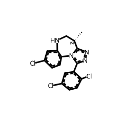 C[C@H]1CNc2cc(Cl)ccc2-n2c(-c3cc(Cl)ccc3Cl)nnc21